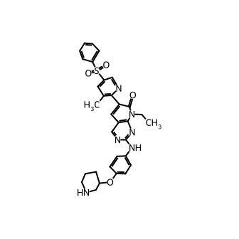 CCn1c(=O)c(-c2ncc(S(=O)(=O)c3ccccc3)cc2C)cc2cnc(Nc3ccc(OC4CCCNC4)cc3)nc21